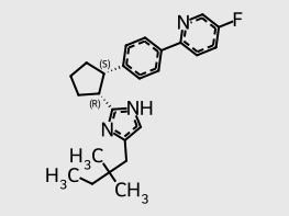 CCC(C)(C)Cc1c[nH]c([C@@H]2CCC[C@@H]2c2ccc(-c3ccc(F)cn3)cc2)n1